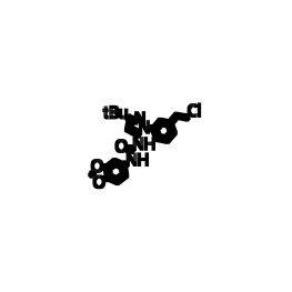 CC(C)(C)c1cc(NC(=O)Nc2ccc3c(c2)OCO3)n(-c2cccc(CCCl)c2)n1